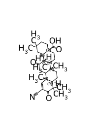 CC1(C)CC[C@]2(C(=O)O)CC[C@]3(C)[C@H](C(=O)CC4[C@@]5(C)C=C(C#N)C(=O)C(C)(C)[C@@H]5CC[C@]43C)[C@@H]2C1